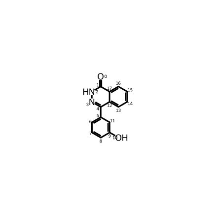 O=c1[nH]nc(-c2cccc(O)c2)c2ccccc12